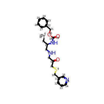 CC(C)CC(CNCC(=O)CSCc1cccnc1)NC(=O)OCc1ccccc1